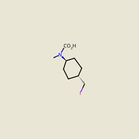 CN(C(=O)O)[C@H]1CC[C@H](CI)CC1